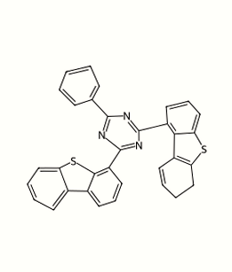 C1=Cc2c(sc3cccc(-c4nc(-c5ccccc5)nc(-c5cccc6c5sc5ccccc56)n4)c23)CC1